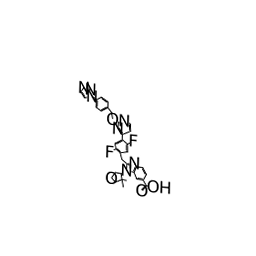 CC1(C)COCC1n1c(Cc2cc(F)c(-c3ccnc(OCc4ccc(-n5ccnn5)cc4)n3)cc2F)nc2ccc(C(=O)O)cc21